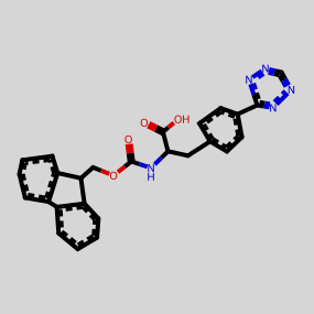 O=C(NC(Cc1ccc(-c2nncnn2)cc1)C(=O)O)OCC1c2ccccc2-c2ccccc21